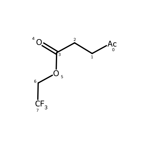 CC(=O)CCC(=O)OCC(F)(F)F